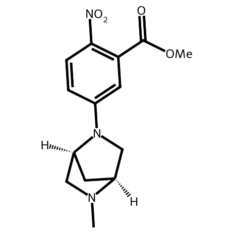 COC(=O)c1cc(N2C[C@@H]3C[C@H]2CN3C)ccc1[N+](=O)[O-]